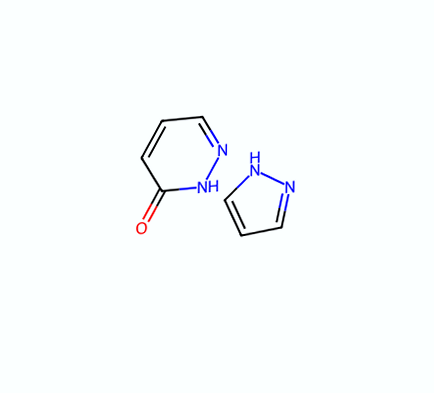 O=c1cccn[nH]1.c1cn[nH]c1